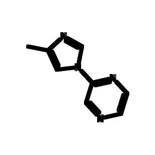 Cc1cn(-c2cnccn2)cn1